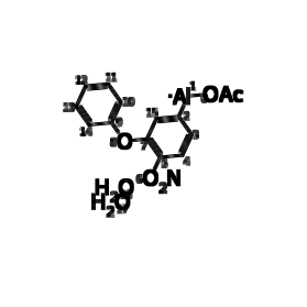 CC(=O)[O][Al][c]1ccc([N+](=O)[O-])c(Oc2ccccc2)c1.O.O